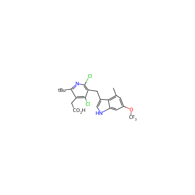 Cc1cc(OC(F)(F)F)cc2[nH]cc(Cc3c(Cl)nc(C(C)(C)C)c(CC(=O)O)c3Cl)c12